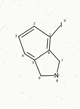 Ic1cccc2c1C[N]C2